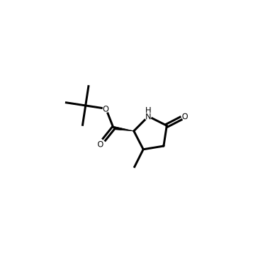 CC1CC(=O)N[C@@H]1C(=O)OC(C)(C)C